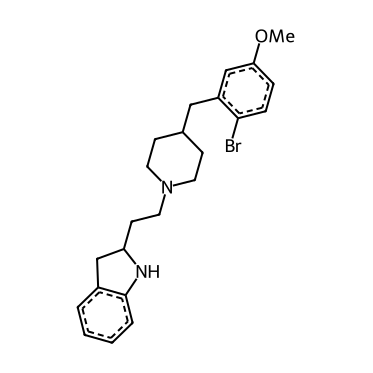 COc1ccc(Br)c(CC2CCN(CCC3Cc4ccccc4N3)CC2)c1